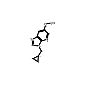 CC(C)(C)Nc1cnc2c(c1)nnn2CC1CC1